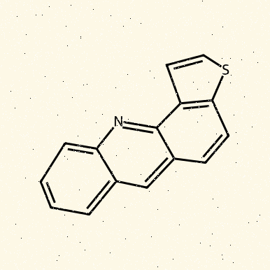 c1ccc2nc3c(ccc4sccc43)cc2c1